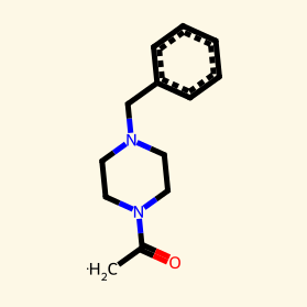 [CH2]C(=O)N1CCN(Cc2ccccc2)CC1